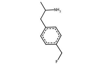 CC(N)Cc1ccc(CF)cc1